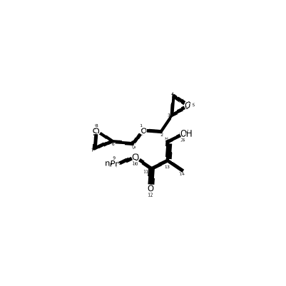 C(OCC1CO1)C1CO1.CCCOC(=O)C(C)=CO